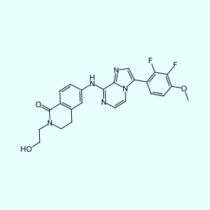 COc1ccc(-c2cnc3c(Nc4ccc5c(c4)CCN(CCO)C5=O)nccn23)c(F)c1F